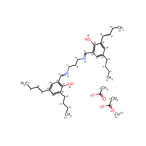 CC(=O)[O-].CC(=O)[O-].CCCCc1cc(C=NCCCN=Cc2cc(CCCC)cc(CCCC)c2O)c(O)c(CCCC)c1.[Co+2]